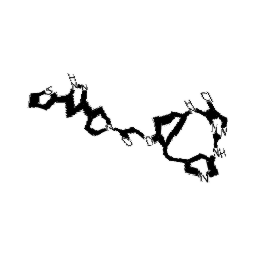 O=C(COc1ccc2cc1CCc1cncc(c1)Nc1ncc(Cl)c(n1)N2)N1CCC(c2cc(-c3cccs3)[nH]n2)CC1